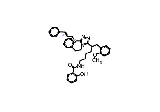 COc1ccccc1CC(CCCCNC(=O)c1ccccc1O)c1nnc(SC/C=C/c2ccccc2)n1CCc1ccccc1